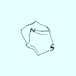 c1sc2nc1CC2